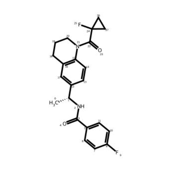 C[C@@H](NC(=O)c1ccc(F)cc1)c1ccc2c(c1)CCCN2C(=O)C1(F)CC1